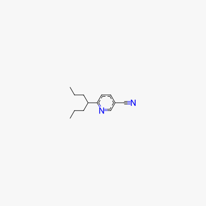 CCCC(CCC)c1ccc(C#N)cn1